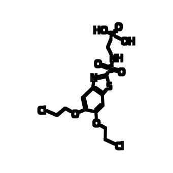 O=P(O)(O)CNS(=O)(=O)c1nc2cc(OCCCl)c(OCCCl)cc2s1